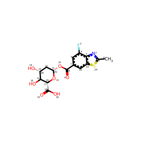 Cc1nc2c(F)cc(C(=O)O[C@H]3C[C@@H](O)C(O)[C@@H](C(=O)O)O3)cc2s1